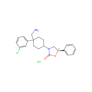 Cl.NCC1(c2cccc(Cl)c2)CCC(N2C[C@@H](c3ccccc3)OC2=O)CC1